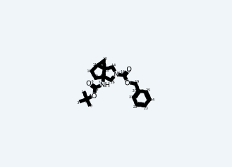 CC(C)(C)OC(=O)NC12CCC3CC31CN(C(=O)OCc1ccccc1)C2